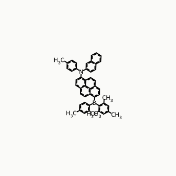 Cc1ccc(N(c2ccc3ccccc3c2)c2ccc3ccc4c(B(c5ccc(C)cc5C)c5c(C)cc(C)cc5C)ccc5ccc2c3c54)cc1